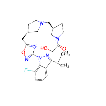 CC(C)c1nn(-c2noc(C[C@H]3CCN(C[C@H]4CCN(C(=O)CO)C4)C3)n2)c2c(F)cccc12